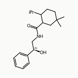 CC(C)C1CCC(C)(C)CC1C(=O)NC[C@@H](O)c1ccccc1